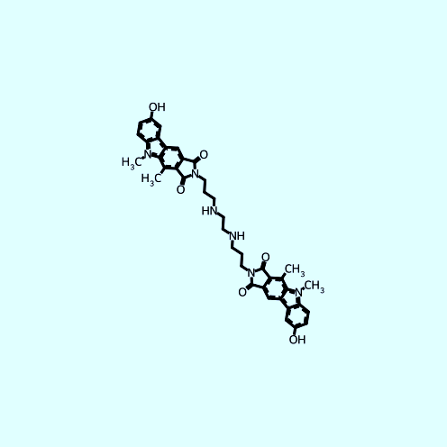 Cc1c2c(cc3c4cc(O)ccc4n(C)c13)C(=O)N(CCCNCCNCCCN1C(=O)c3cc4c5cc(O)ccc5n(C)c4c(C)c3C1=O)C2=O